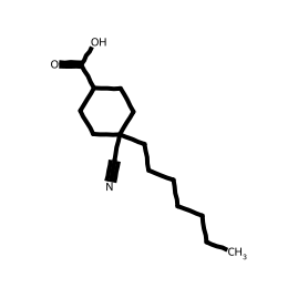 CCCCCCCC1(C#N)CCC(C(=O)O)CC1